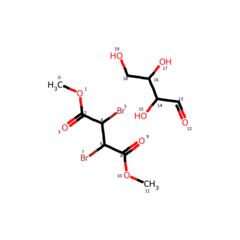 COC(=O)C(Br)C(Br)C(=O)OC.O=CC(O)C(O)CO